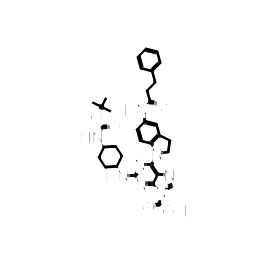 CC(C)(C)OC(=O)N[C@H]1CC[C@H](Nc2nc(N3CCc4cc(NC(=O)CCc5ccccc5)ccc43)c3ncn(C(=O)O)c3n2)CC1